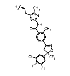 C=CCn1nc(NC(=O)c2ccc(C3=NOC(c4cc(Cl)c(F)c(Cl)c4)(C(F)(F)F)C3)cc2C)nc1C